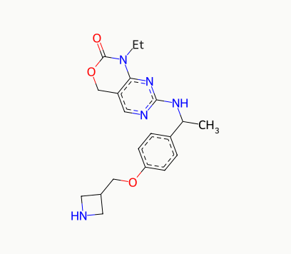 CCN1C(=O)OCc2cnc(NC(C)c3ccc(OCC4CNC4)cc3)nc21